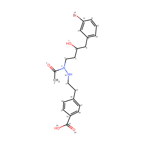 CC(=O)N(CCC(O)Cc1cccc(Br)c1)NCCc1ccc(C(=O)O)cc1